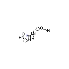 Cc1cccc2c1/C(=C\Nc1cc(Cc3ccc(OCCCN(C)C)cc3)n[nH]1)C(=O)N2